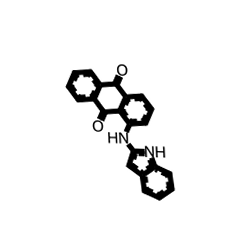 O=C1c2ccccc2C(=O)c2c(Nc3cc4ccccc4[nH]3)cccc21